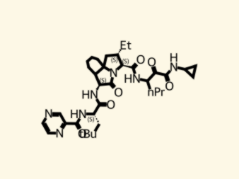 CCCC(NC(=O)[C@@H]1[C@@H](CC)CC23CCCCC2[C@H](NC(=O)[C@H](CC(C)(C)C)NC(=O)c2cnccn2)C(=O)N13)C(=O)C(=O)NC1CC1